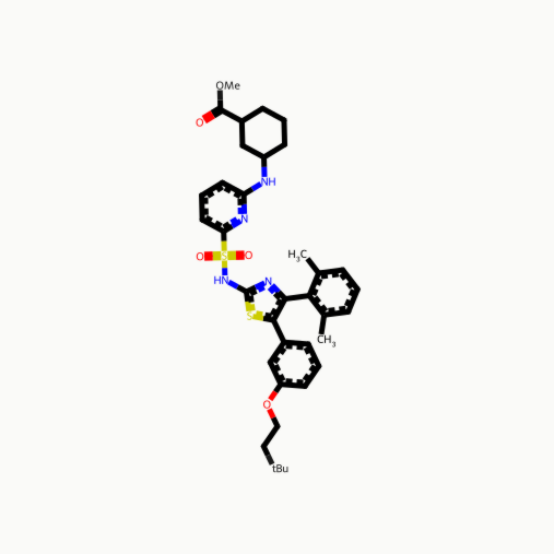 COC(=O)C1CCCC(Nc2cccc(S(=O)(=O)Nc3nc(-c4c(C)cccc4C)c(-c4cccc(OCCC(C)(C)C)c4)s3)n2)C1